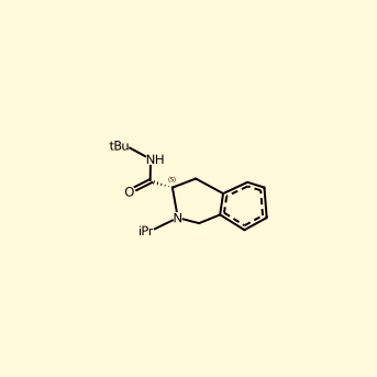 CC(C)N1Cc2ccccc2C[C@H]1C(=O)NC(C)(C)C